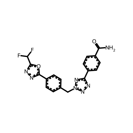 NC(=O)c1ccc(-c2nnn(Cc3ccc(-c4nnc(C(F)F)o4)cc3)n2)cc1